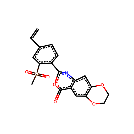 C=Cc1ccc(-c2nc3cc4c(cc3c(=O)o2)OCCO4)c(S(C)(=O)=O)c1